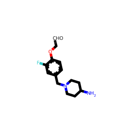 NC1CCN(Cc2ccc(OCC=O)c(F)c2)CC1